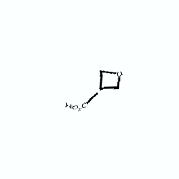 C1COC1.CC(=O)O